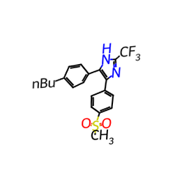 CCCCc1ccc(-c2[nH]c(C(F)(F)F)nc2-c2ccc(S(C)(=O)=O)cc2)cc1